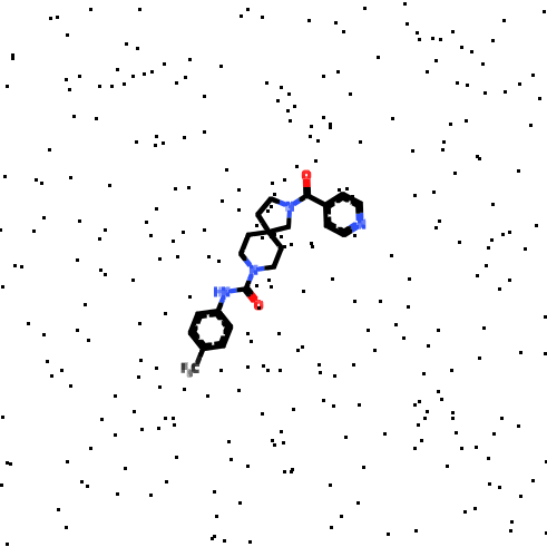 O=C(Nc1ccc(C(F)(F)F)cc1)N1CCC2(CC1)CCN(C(=O)c1ccncc1)C2